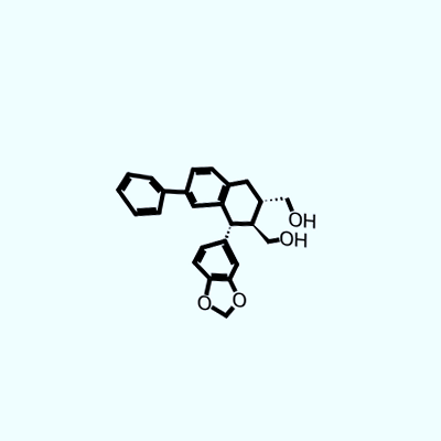 OC[C@H]1Cc2ccc(-c3ccccc3)cc2[C@@H](c2ccc3c(c2)OCO3)[C@@H]1CO